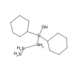 O[Si]([SiH2][SiH2][SiH3])(C1CCCCC1)C1CCCCC1